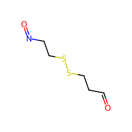 O=CCCSSCCN=O